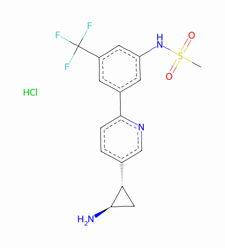 CS(=O)(=O)Nc1cc(-c2ccc([C@@H]3C[C@H]3N)cn2)cc(C(F)(F)F)c1.Cl